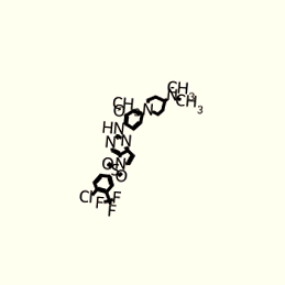 COc1cc(N2CCC(N(C)C)CC2)ccc1Nc1ncc2c(ccn2S(=O)(=O)c2ccc(Cl)c(C(F)(F)F)c2)n1